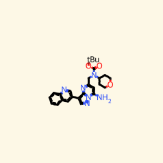 CC(C)(C)OC(=O)N(Cc1cc(N)n2ncc(-c3cnc4ccccc4c3)c2n1)C1CCOCC1